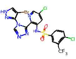 O=S(=O)(Nc1cc(Cl)cnc1-c1nncn1-c1n[nH]cc1Br)c1ccc(Cl)c(C(F)(F)F)c1